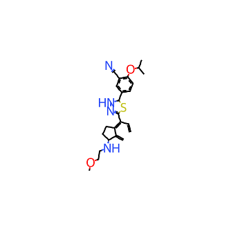 C=C/C(C1=NNC(c2ccc(OC(C)C)c(C#N)c2)S1)=C1/CC[C@H](NCCOC)C1=C